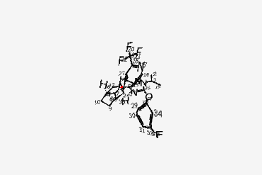 CC(C)n1nc(NC2[C@@H]3CC[C@H]2CN(c2ccnc(C(F)(F)F)c2)C3)nc1Oc1cccc(F)c1